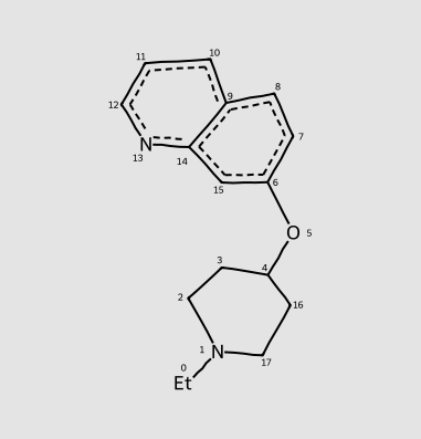 CCN1CCC(Oc2ccc3cccnc3c2)CC1